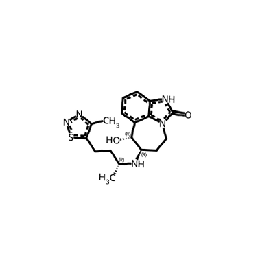 Cc1nnsc1CC[C@@H](C)N[C@@H]1CCn2c(=O)[nH]c3cccc(c32)[C@H]1O